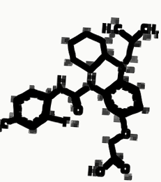 Cc1ccc(NC(=O)Nc2cc(OCC(=O)O)ccc2N(CC(C)C)C2CCCCC2)c(F)c1